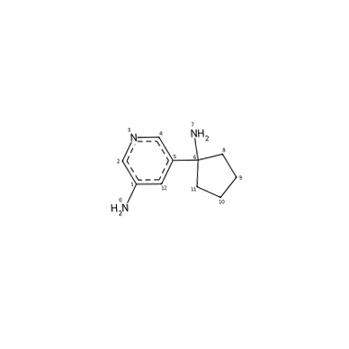 Nc1cncc(C2(N)CCCC2)c1